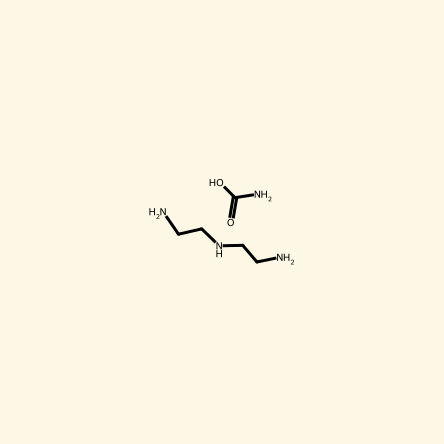 NC(=O)O.NCCNCCN